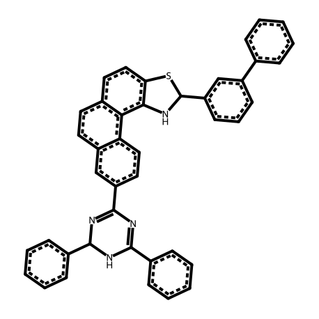 c1ccc(C2=NC(c3ccc4c(ccc5ccc6c(c54)NC(c4cccc(-c5ccccc5)c4)S6)c3)=NC(c3ccccc3)N2)cc1